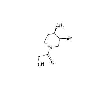 CC(C)[C@H]1CN(C(=O)CC#N)CC[C@H]1C